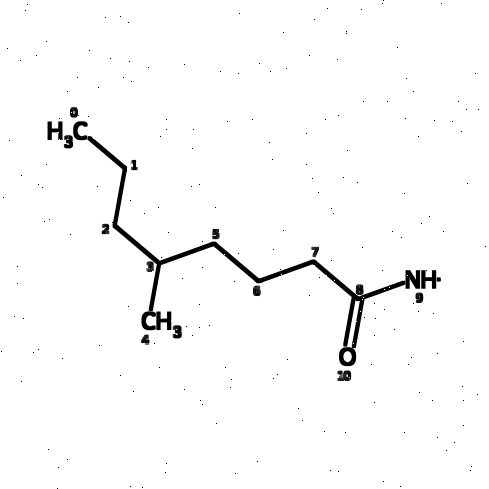 CCCC(C)CCCC([NH])=O